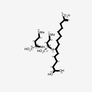 C=C(CCCCCCCCCCCC(O)O)C(=O)O.CSCC[C@H](N)C(=O)O.CSCC[C@H](N)C(=O)O